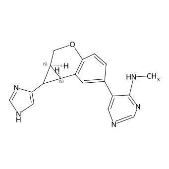 CNc1ncncc1-c1ccc2c(c1)[C@H]1C(c3c[nH]cn3)[C@H]1CO2